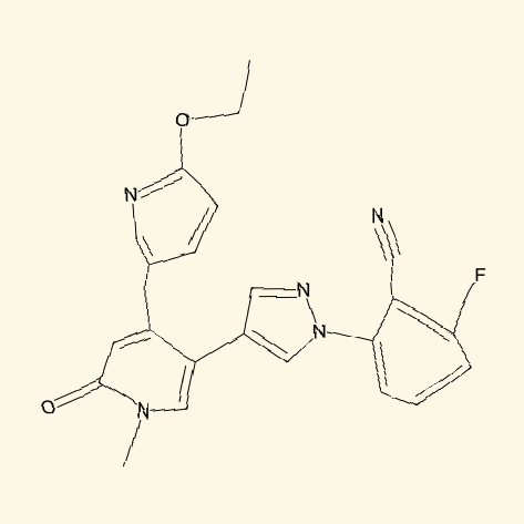 CCOc1ccc(-c2cc(=O)n(C)cc2-c2cnn(-c3cccc(F)c3C#N)c2)cn1